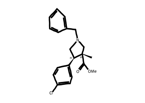 COC(=O)[C@@]1(C)CN(Cc2ccccc2)C[C@@H]1c1ccc(Cl)cc1